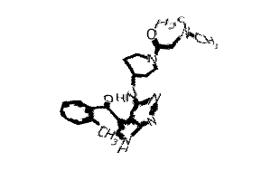 Cc1ccccc1C(=O)c1c[nH]c2ncnc(NC3CCN(C(=O)CN(C)C)CC3)c12